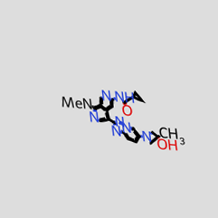 CNc1ncc(-c2nc3ccc(N4CC(C)(O)C4)cn3n2)c2cc(NC(=O)C3CC3)ncc12